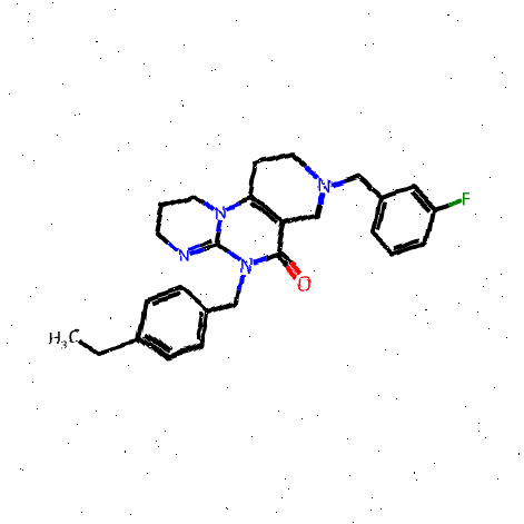 CCc1ccc(CN2C(=O)C3=C(CCN(Cc4cccc(F)c4)C3)N3CCCN=C23)cc1